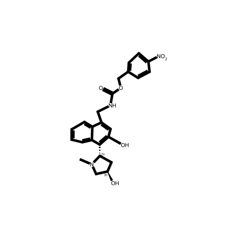 CN1C[C@H](O)C[C@H]1c1c(O)cc(CNC(=O)OCc2ccc([N+](=O)[O-])cc2)c2ccccc12